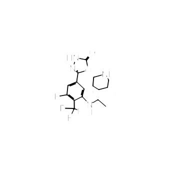 CC(Nc1cc(-c2n[nH]c(=O)o2)cc(F)c1C(F)(F)F)[C@@H]1CCNC[C@@H]1C